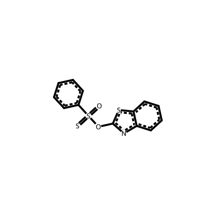 O=S(=S)(Oc1nc2ccccc2s1)c1ccccc1